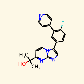 CC(C)(O)c1ccn2c(-c3ccc(F)c(-c4ccncc4)c3)cnc2n1